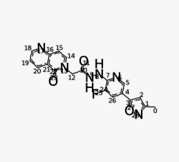 Cc1cc(-c2cnc(NNC(=O)Cn3ccc4ncccc4c3=O)c(F)c2)on1